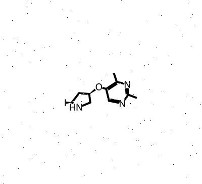 Cc1ncc(O[C@H]2CN[C@@H](I)C2)c(C)n1